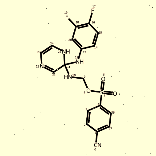 N#Cc1ccc(S(=O)(=O)OCNC2(Nc3ccc(F)c(F)c3)C=NC=CN2)cc1